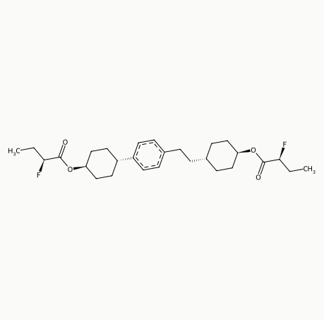 CC[C@H](F)C(=O)O[C@H]1CC[C@H](CCc2ccc([C@H]3CC[C@H](OC(=O)[C@@H](F)CC)CC3)cc2)CC1